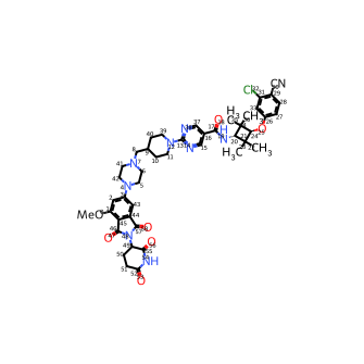 COc1cc(N2CCN(CC3CCN(c4ncc(C(=O)N[C@H]5C(C)(C)[C@H](Oc6ccc(C#N)c(Cl)c6)C5(C)C)cn4)CC3)CC2)cc2c1C(=O)N(C1CCC(=O)NC1=O)C2=O